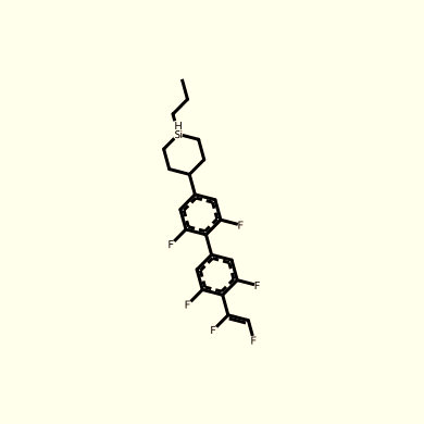 CCC[SiH]1CCC(c2cc(F)c(-c3cc(F)c(/C(F)=C/F)c(F)c3)c(F)c2)CC1